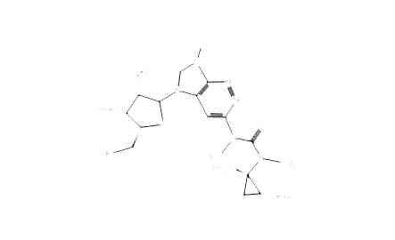 CN1CN(C2O[C@@H](CO)[C@H](O)[C@@H]2O)c2cc(N(C)C(=O)N(C)[C@@]3(C(=O)O)C[C@H]3O)nnc21